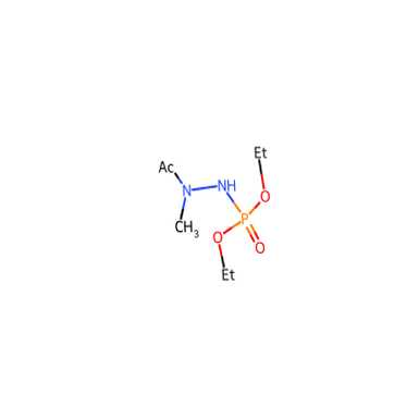 CCOP(=O)(NN(C)C(C)=O)OCC